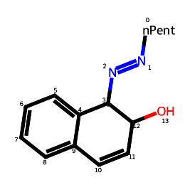 CCCCC/N=N/[C]1c2ccccc2C=CC1O